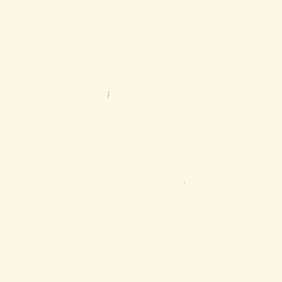 CCc1ccc(C(C)=O)cc1C